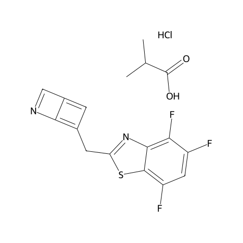 CC(C)C(=O)O.Cl.Fc1cc(F)c2sc(Cc3cc4cnc3-4)nc2c1F